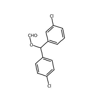 O=[C]OC(c1ccc(Cl)cc1)c1cccc(Cl)c1